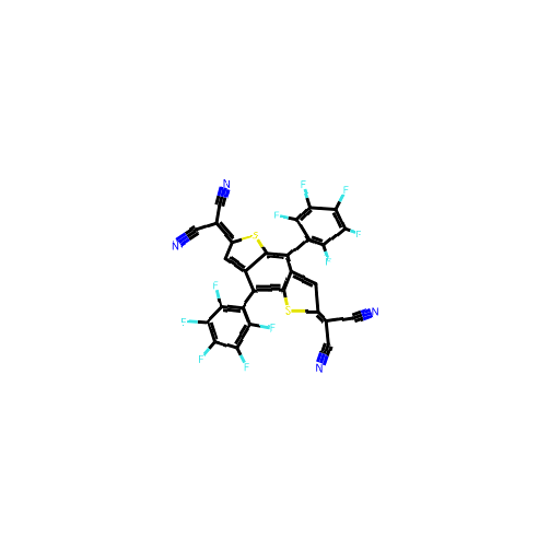 N#CC(C#N)=c1cc2c(-c3c(F)c(F)c(F)c(F)c3F)c3sc(=C(C#N)C#N)cc3c(-c3c(F)c(F)c(F)c(F)c3F)c2s1